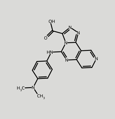 CN(C)c1ccc(Nc2nc3ccncc3c3nnc(C(=O)O)n23)cc1